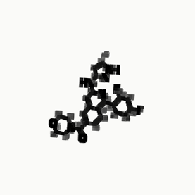 Cc1cc(Nc2cc3cc(C(=O)N4CCOCC4)ccc3c(-c3ccc(F)cc3F)n2)n[nH]1